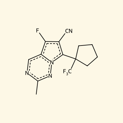 Cc1ncc2c(F)c(C#N)c(C3(C(F)(F)F)CCCC3)n2n1